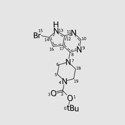 CC(C)(C)OC(=O)N1CCN(c2ncnc3[nH]c(Br)cc23)CC1